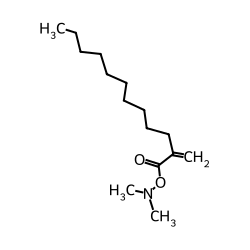 C=C(CCCCCCCCCC)C(=O)ON(C)C